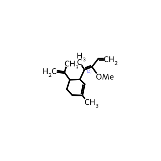 C=C/C(OC)=C(\C)C1C=C(C)CCC1C(=C)C